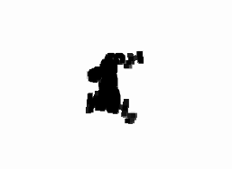 CC(C)C(NC(=O)c1ccc2cc(-c3nc4cc(C(=O)O)ccc4n3C3CCCCC3)ccc2n1)C(N)=O